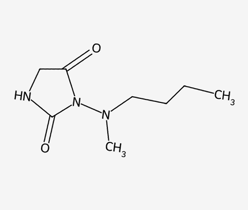 CCCCN(C)N1C(=O)CNC1=O